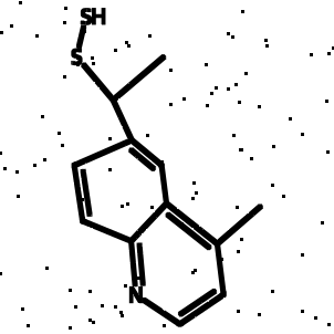 Cc1ccnc2ccc(C(C)SS)cc12